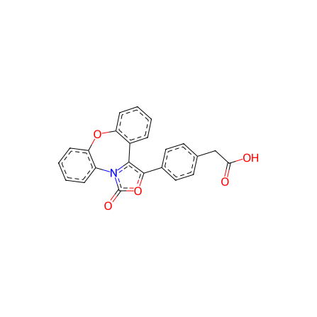 O=C(O)Cc1ccc(-c2oc(=O)n3c2-c2ccccc2Oc2ccccc2-3)cc1